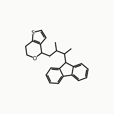 CC([CH]C1OCCc2sccc21)C(C)C1c2ccccc2-c2ccccc21